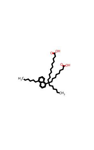 CCCCCCc1cccc2c(C(CCCCCC)(CCCCCCCCCCC(=O)O)CCCCCCCC(=O)O)cccc12